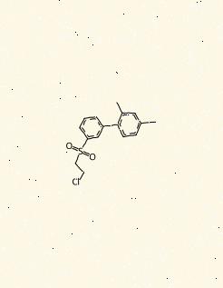 Cc1ccc(-c2cccc(S(=O)(=O)CCCl)c2)c(C)c1